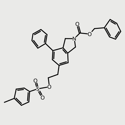 Cc1ccc(S(=O)(=O)OCCc2cc3c(c(-c4ccccc4)c2)CN(C(=O)OCc2ccccc2)C3)cc1